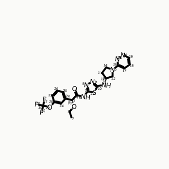 CCO[C@@H](C(=O)Nc1nnc(N[C@@H]2CCN(c3cccnn3)C2)s1)c1cccc(OC(F)(F)F)c1